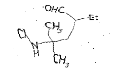 CCC([C]=O)CC(C)(C)NCl